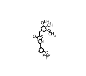 COc1cc(/C=c2\sc3nc(-c4cccc(OC(F)(F)F)c4)cn3c2=O)cc(OC)c1O